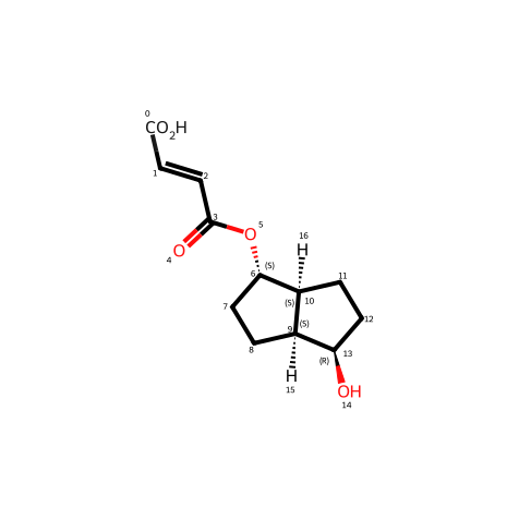 O=C(O)C=CC(=O)O[C@H]1CC[C@H]2[C@@H]1CC[C@H]2O